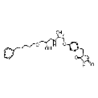 CC(COc1ccc(CC2SC(=O)NC2=O)cc1)NCC(O)COCCCCCc1ccccc1